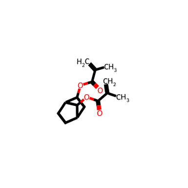 C=C(C)C(=O)OC1CC2CCC1C2OC(=O)C(=C)C